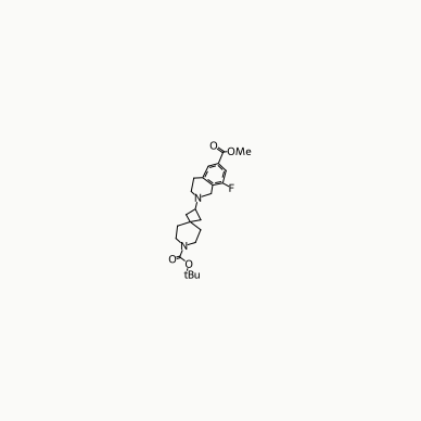 COC(=O)c1cc(F)c2c(c1)CCN(C1CC3(CCN(C(=O)OC(C)(C)C)CC3)C1)C2